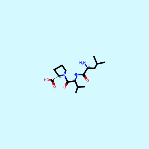 CC(C)C[C@H](N)C(=O)N[C@H](C(=O)N1CCC[C@H]1C(=O)O)C(C)C